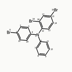 Brc1ccc(N(c2ccccc2)c2ccc(Br)cc2Br)cc1